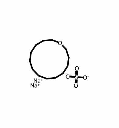 C1CCCCCCOCCCCCC1.O=S(=O)([O-])[O-].[Na+].[Na+]